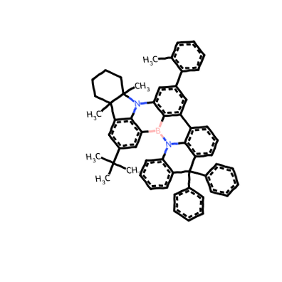 Cc1ccccc1-c1cc2c3c(c1)N1c4c(cc(C(C)(C)C)cc4C4(C)CCCCC14C)B3N1c3ccccc3C(c3ccccc3)(c3ccccc3)c3cccc-2c31